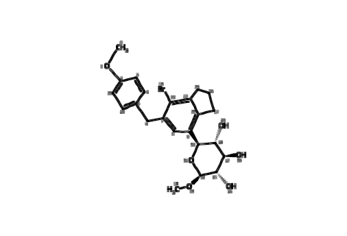 COc1ccc(Cc2cc([C@@H]3O[C@H](OC)[C@@H](O)[C@H](O)[C@H]3O)c3c(c2Br)CCC3)cc1